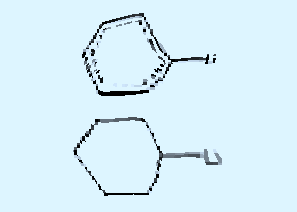 [Li][CH]1CCCCC1.[Li][c]1ccccc1